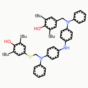 CC(C)(C)c1cc(CN(c2ccccc2)c2ccc(Nc3ccc(N(CSc4cc(C(C)(C)C)c(O)c(C(C)(C)C)c4)c4ccccc4)cc3)cc2)cc(C(C)(C)C)c1O